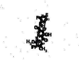 C/C=C1\Cn2cc(C(=O)NCc3ccc(F)cc3F)c(=O)c(O)c2C(=O)N1C[C@H](C)NC(C)C